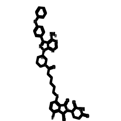 Nc1ncnc2c1c(-c1ccc(Oc3ccccc3)cc1)nn2[C@@H]1CCCN(C(=O)CCCCCSc2ccc(F)c3c2C(=O)N(C2CCC(=O)NC2=O)C3=O)C1